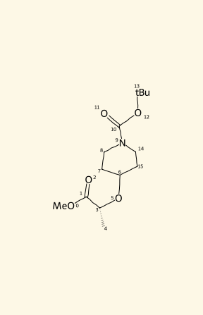 COC(=O)[C@@H](C)OC1CCN(C(=O)OC(C)(C)C)CC1